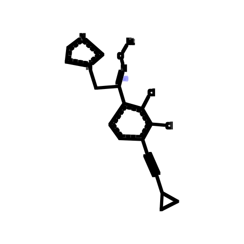 CCO/N=C(\Cn1ccnc1)c1ccc(C#CC2CC2)c(Cl)c1Cl